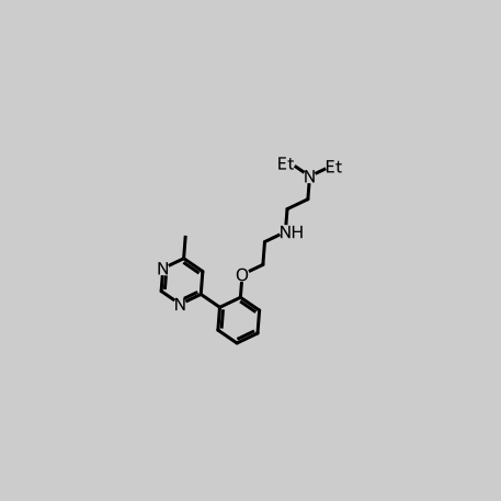 CCN(CC)CCNCCOc1ccccc1-c1cc(C)ncn1